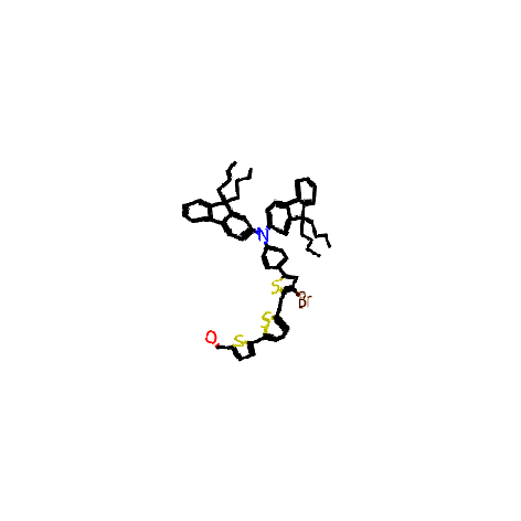 CCCCC1(CCCC)c2ccccc2-c2ccc(N(c3ccc(-c4cc(Br)c(-c5ccc(-c6ccc(C=O)s6)s5)s4)cc3)c3ccc4c(c3)C(CCCC)(CCCC)c3ccccc3-4)cc21